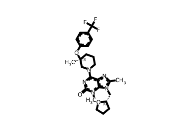 Cc1nc2c(N3CCC[C@](C)(Oc4ccc(C(F)(F)F)cc4)C3)nc(=O)n(C)c2n1C[C@@H]1CCCO1